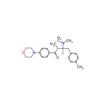 Cc1ccc(CC(I)(C(C)C(=O)c2ccc(N3CCOCC3)cc2)N(C)C)cc1